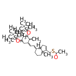 C=C1C(=CC=C2CCC[C@]3(C)C(CSC(C)=O)=CC[C@@H]23)C[C@@H](O[Si](C)(C)C(C)(C)C)C[C@@H]1O[Si](C)(C)C(C)(C)C